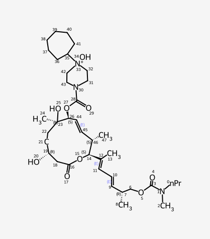 CCCN(C)C(=O)OC[C@H](C)/C=C/C=C(\C)[C@H]1OC(=O)C[C@H](O)CC[C@@](C)(O)[C@@H](OC(=O)N2CC[N+](O)(C3CCCCCC3)CC2)/C=C/[C@@H]1C